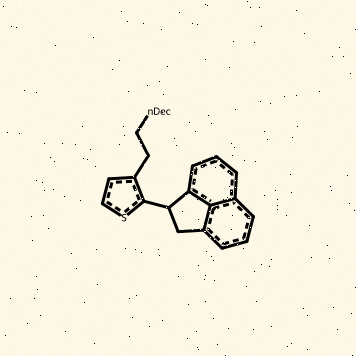 CCCCCCCCCCCCc1ccsc1C1Cc2cccc3cccc1c23